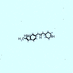 Cc1cc2ccc(CNCC3CCNCC3)cc2[nH]1